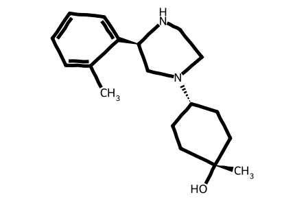 Cc1ccccc1[C@@H]1CN([C@H]2CC[C@@](C)(O)CC2)CCN1